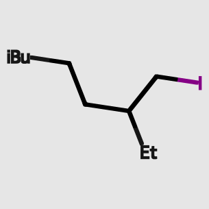 CCC(C)CCC(CC)CI